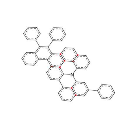 c1ccc(-c2cccc(N(c3ccccc3-c3ccc4c(c3)c(-c3ccccc3)c(-c3ccccc3)c3ccccc34)c3c(-c4ccccc4)cccc3-c3ccccc3)c2)cc1